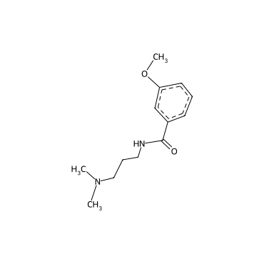 COc1cccc(C(=O)NCCCN(C)C)c1